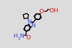 NC(=O)c1ccc2c(c1)nc(-c1ccc(OCCO)cc1)n2C1CCCC1